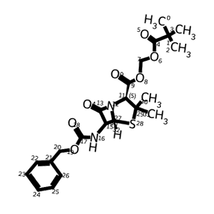 CC(C)(C)C(=O)OCOC(=O)[C@@H]1N2C(=O)C(NC(=O)OCc3ccccc3)[C@H]2SC1(C)C